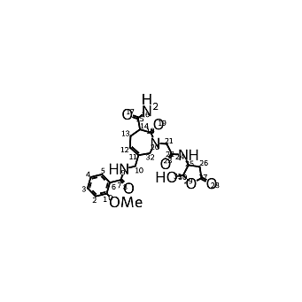 COc1ccccc1C(=O)NCC1=CCC(C(N)=O)C(=O)N(CC(=O)NC2CC(=O)OC2O)C1